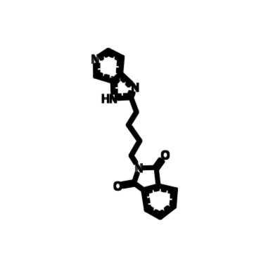 O=C1c2ccccc2C(=O)N1CCCCc1nc2ccncc2[nH]1